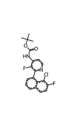 CC(C)(C)OC(=O)Nc1ccnc(-c2cccc3ccc(F)c(Cl)c23)c1F